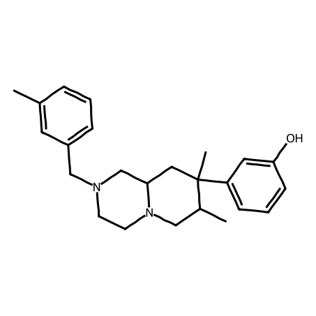 Cc1cccc(CN2CCN3CC(C)C(C)(c4cccc(O)c4)CC3C2)c1